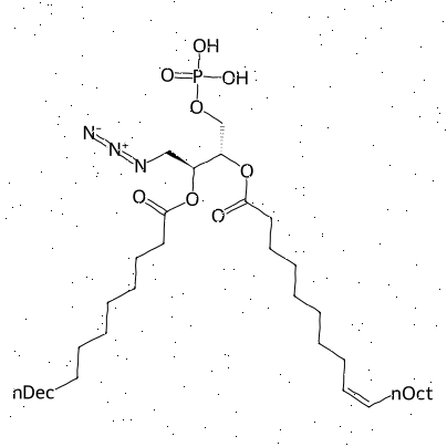 CCCCCCCC/C=C\CCCCCCCC(=O)O[C@@H](COP(=O)(O)O)[C@H](CN=[N+]=[N-])OC(=O)CCCCCCCCCCCCCCCCC